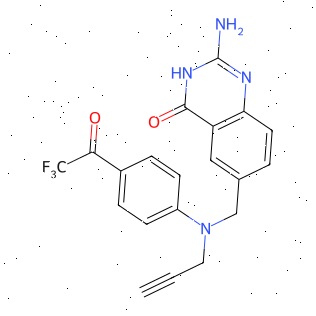 C#CCN(Cc1ccc2nc(N)[nH]c(=O)c2c1)c1ccc(C(=O)C(F)(F)F)cc1